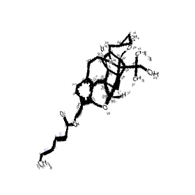 C/C=C/C=C/C(=O)Oc1ccc2c3c1O[C@@H]1[C@]34CC3C5(C(C)(C)O)N(CC6CC6)[C@H](C2)[C@]34CC[C@@]15OC